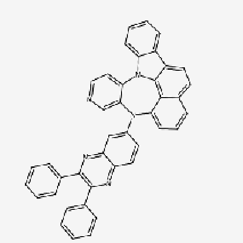 c1ccc(-c2nc3ccc(-n4c5cccc6ccc7c8ccccc8n(c8ccncc84)c7c65)cc3nc2-c2ccccc2)cc1